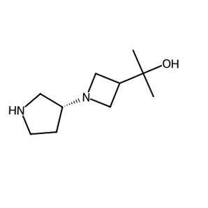 CC(C)(O)C1CN([C@@H]2CCNC2)C1